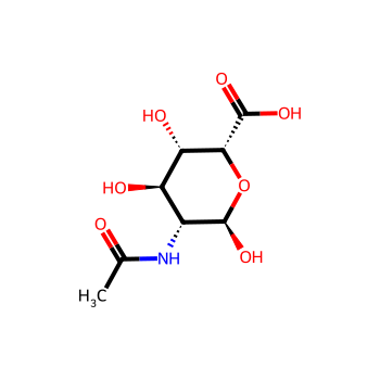 CC(=O)N[C@@H]1[C@@H](O)[C@H](O)[C@H](C(=O)O)O[C@H]1O